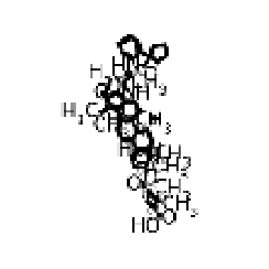 CC(C)C1=C2[C@H]3CC[C@@H]4[C@@]5(C)CC[C@H](OC(=O)[C@H]6C[C@@H](C(=O)O)C6(C)C)C(C)(C)[C@@H]5CC[C@@]4(C)[C@]3(C)CC[C@@]2(NC(=O)C(C)(C)NC(=O)C2(c3ccccc3)CCCC2)CC1=O